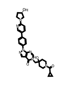 O=C(C1CC1)N1CCC(O)(Cn2cnc3c(cnn3-c3ccc(-c4ccc(N5CC[C@H](O)C5)nc4)cc3)c2=O)CC1